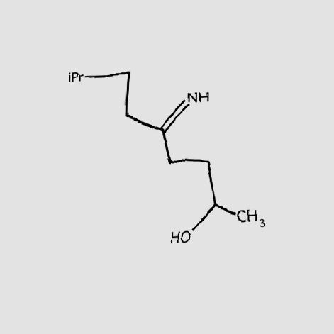 CC(C)CCC(=N)CCC(C)O